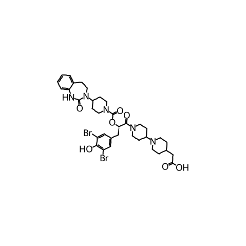 O=C(O)CC1CCN(C2CCN(C(=O)[C@@H](Cc3cc(Br)c(O)c(Br)c3)OC(=O)N3CCC(N4CCc5ccccc5NC4=O)CC3)CC2)CC1